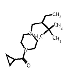 CCC(CN1CCN(C(=O)C2CC2)CC1)C(C)(C)C